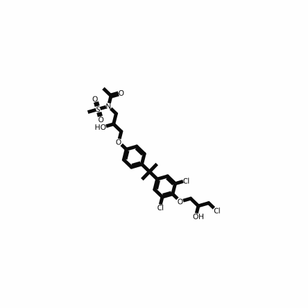 CC(=O)N(CC(O)COc1ccc(C(C)(C)c2cc(Cl)c(OCC(O)CCl)c(Cl)c2)cc1)S(C)(=O)=O